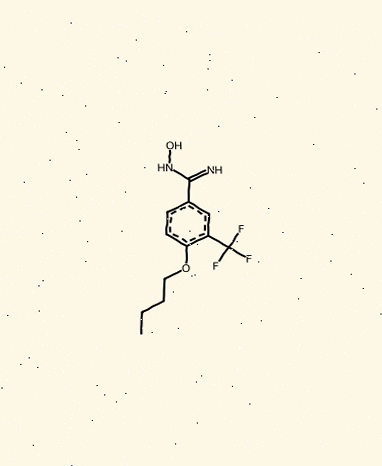 CCCCOc1ccc(C(=N)NO)cc1C(F)(F)F